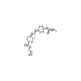 CCOCOC(=O)C1CCC(OCOC2CCC(OC(N)=O)CC2)CC1